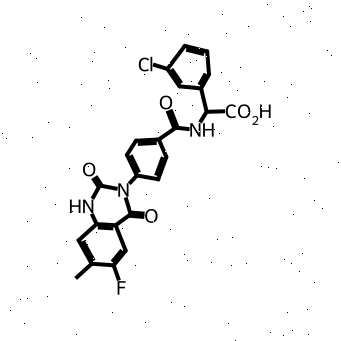 Cc1cc2[nH]c(=O)n(-c3ccc(C(=O)NC(C(=O)O)c4cccc(Cl)c4)cc3)c(=O)c2cc1F